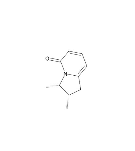 C[C@H]1Cc2cccc(=O)n2[C@H]1C